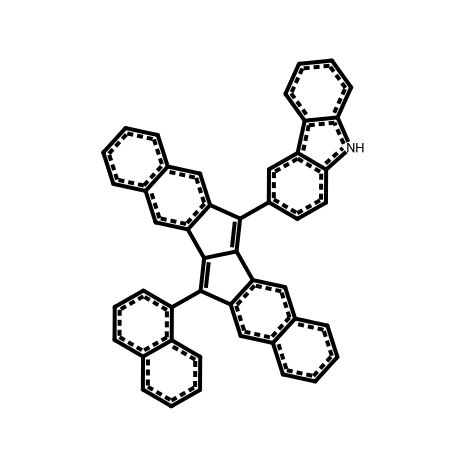 c1ccc2cc3c(cc2c1)C1=C(c2cccc4ccccc24)c2cc4ccccc4cc2C1=C3c1ccc2[nH]c3ccccc3c2c1